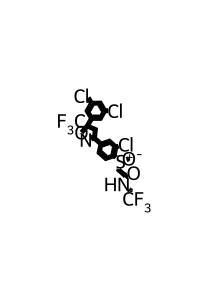 O=C(C[S+]([O-])c1ccc(C2=NOC(c3cc(Cl)cc(Cl)c3)(C(F)(F)F)C2)cc1Cl)NCC(F)(F)F